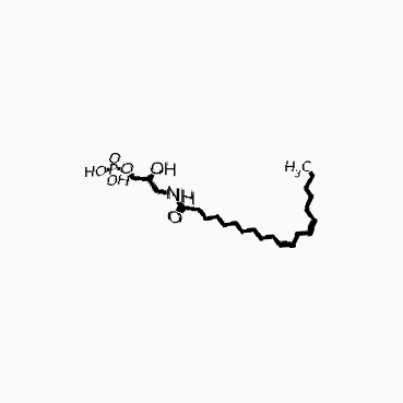 CCCCC/C=C\C/C=C\CCCCCCCCCC(=O)NCC(O)COP(=O)(O)O